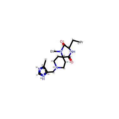 CCN1C(=O)C(CC(C)C)NC(=O)C12CCN(Cc1[nH]cnc1C)CC2